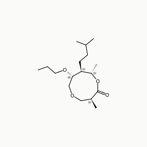 CCCO[C@H]1COC[C@H](C)C(=O)O[C@@H](C)[C@@H]1CCC(C)C